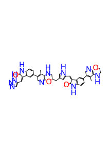 Cc1c(-c2ccc3c(c2)/C(=C/c2cc(CC4CNc5c(ncc(-c6ccc7c(c6)/C(=C/c6cnn[nH]6)C(=O)N7)c5C)O4)c[nH]2)C(=O)N3)cnc2c1NCCO2